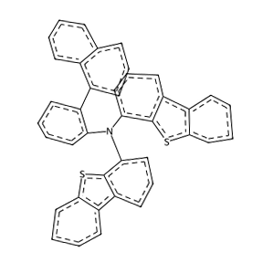 c1ccc(N(c2cccc3c2sc2ccccc23)c2cccc3c2sc2ccccc23)c(-c2cccc3ccccc23)c1